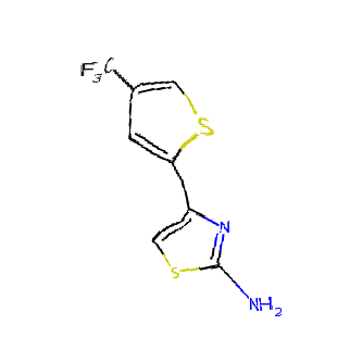 Nc1nc(-c2cc(C(F)(F)F)cs2)cs1